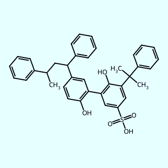 CC(CC(c1ccccc1)c1ccc(O)c(-c2cc(S(=O)(=O)O)cc(C(C)(C)c3ccccc3)c2O)c1)c1ccccc1